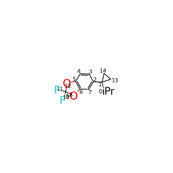 CC(C)C1(c2ccc3c(c2)OC(F)(F)O3)CC1